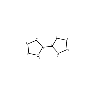 [CH]1CCOC1C1CCCS1